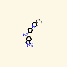 CN=C1c2ccc(Nc3ccc(N4CCC(C(F)(F)F)CC4)cc3)cc2CN1C